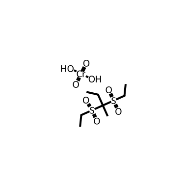 CCC(C)(S(=O)(=O)CC)S(=O)(=O)CC.[O]=[Cr](=[O])([OH])[OH]